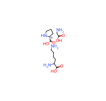 NCC(=O)O.NCCCCC(N)C(=O)O.O=C(O)[C@@H]1CCCN1